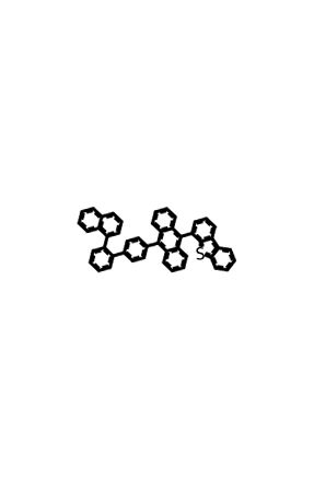 c1ccc(-c2cccc3ccccc23)c(-c2ccc(-c3c4ccccc4c(-c4cccc5c4sc4ccccc45)c4ccccc34)cc2)c1